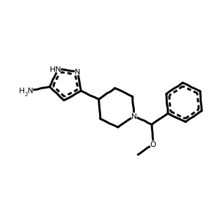 COC(c1ccccc1)N1CCC(c2cc(N)[nH]n2)CC1